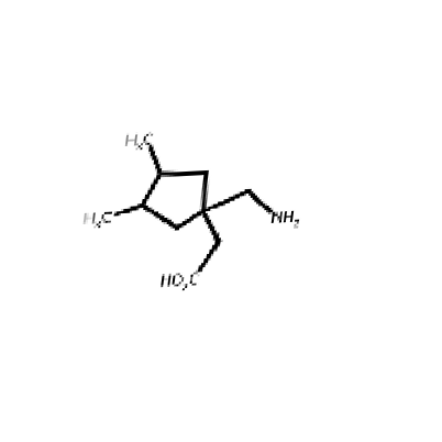 CC1CC(CN)(CC(=O)O)CC1C